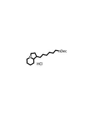 CCCCCCCCCCCCCCCCC1CCN2CCCCC12.Cl